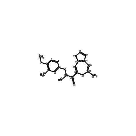 CCCN(Cc1ccc(CN)c(C)c1)C(=O)C1=Cc2sccc2N=C(N)C1